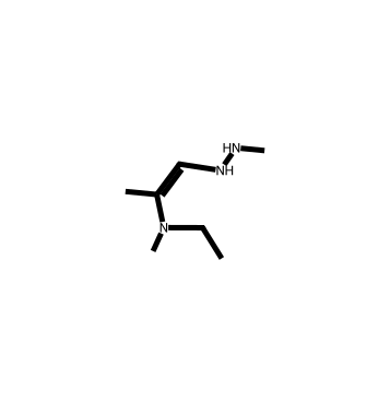 CCN(C)/C(C)=C\NNC